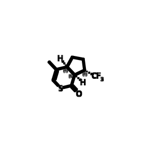 CC1=CSC(=O)[C@H]2[C@@H]1CC[C@@H]2C(F)(F)F